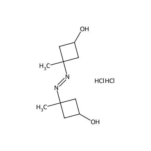 CC1(N=NC2(C)CC(O)C2)CC(O)C1.Cl.Cl